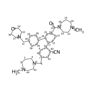 CN1CCCN(Cc2ccc(-c3ccc(C(=O)N4CCCN(C)CC4)cc3-c3ccc(CN4CCOCC4)cc3)c(C#N)c2)CC1